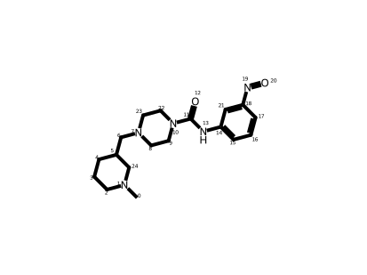 CN1CCCC(CN2CCN(C(=O)Nc3cccc(N=O)c3)CC2)C1